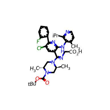 Cc1ccnc(C(C)C)c1Nc1nc(-c2ccccc2F)c(Cl)cc1/C(=N\CC(=O)O)N1C[C@@H](C)N(C(=O)OC(C)(C)C)C[C@@H]1C